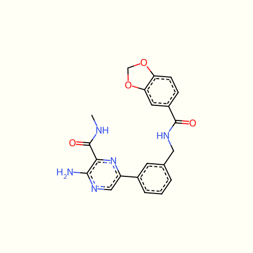 CNC(=O)c1nc(-c2cccc(CNC(=O)c3ccc4c(c3)OCO4)c2)cnc1N